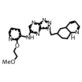 COCCOc1ncccc1Nc1cnc2nnn(CC3CC[C@@H]4N=CC=CC4C3)c2n1